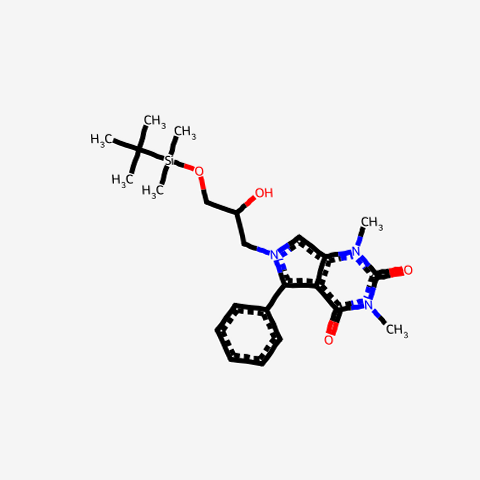 Cn1c(=O)c2c(-c3ccccc3)n(CC(O)CO[Si](C)(C)C(C)(C)C)cc2n(C)c1=O